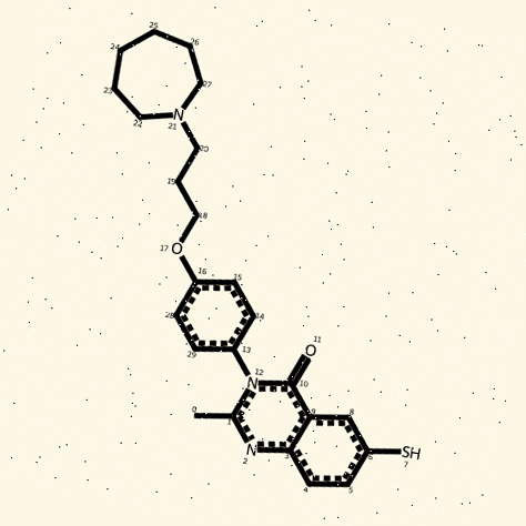 Cc1nc2ccc(S)cc2c(=O)n1-c1ccc(OCCCN2CCCCCC2)cc1